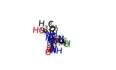 C[C@H]1CC[C@H](Cn2c(NCCO)nc3nc(-c4n[nH]c(=O)o4)nc(Oc4ccc(Cl)cn4)c32)CC1